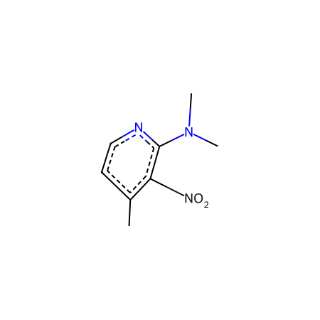 Cc1ccnc(N(C)C)c1[N+](=O)[O-]